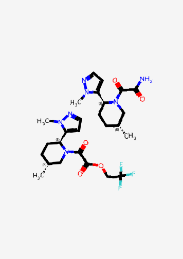 C[C@@H]1CC[C@@H](c2ccnn2C)N(C(=O)C(=O)OCC(F)(F)F)C1.C[C@@H]1CC[C@@H](c2ccnn2C)N(C(=O)C(N)=O)C1